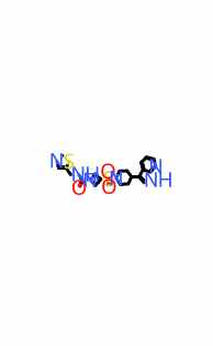 O=C(NCc1cncs1)N1CC(S(=O)(=O)N2CCC(c3c[nH]c4ncccc34)CC2)C1